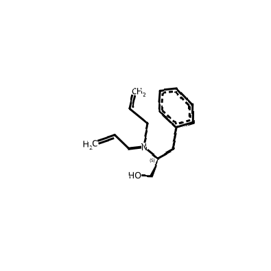 C=CCN(CC=C)[C@H](CO)Cc1ccccc1